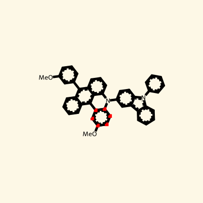 COc1cccc(-c2c3ccccc3c(-c3cccc(OC)c3)c3c(N(c4ccccc4)c4ccc5c(c4)c4ccccc4n5-c4ccccc4)cccc23)c1